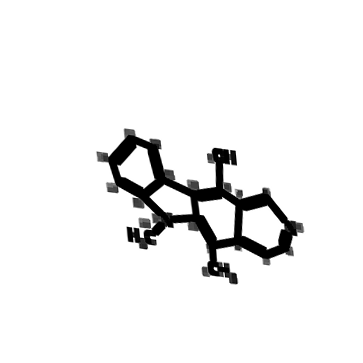 Cc1c2ccncc2c(O)c2c3ccccc3n(C)c12